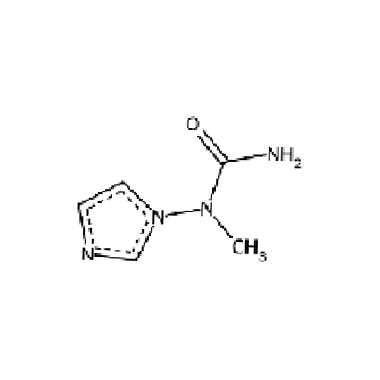 CN(C(N)=O)n1ccnc1